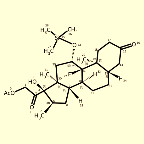 CC(=O)OCC(=O)[C@@]1(O)[C@H](C)C[C@H]2[C@@H]3CC[C@H]4CC(=O)CC[C@]4(C)[C@@]3(F)[C@@H](O[Si](C)(C)C)C[C@@]21C